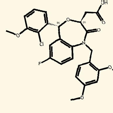 COc1ccc(CN2C(=O)[C@H](CC(=O)O)O[C@@H](c3cccc(OC)c3Cl)c3cc(F)ccc32)c(OC)c1